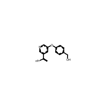 C=C(CCC)c1cncc(Oc2ccc(CO)cc2)c1